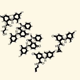 C=CCNC(=O)c1cc(Cl)ccc1Nc1ccc(I)cc1C.Cc1cc(I)ccc1Nc1ccc(Cl)cc1C(=O)N(C)c1ccccc1.Cc1cc(I)ccc1Nc1ccc(Cl)cc1C(=O)NC1CC1.Cc1cc(I)ccc1Nc1ccc(F)cc1C(=O)N(C)c1ccccc1.Cc1cc(I)ccc1Nc1ccc(I)cc1C(=O)NCCO